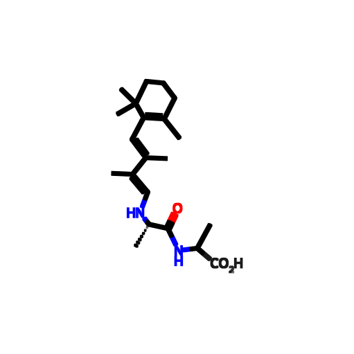 CC1=C(/C=C(C)/C(C)=C/N[C@@H](C)C(=O)NC(C)C(=O)O)C(C)(C)CCC1